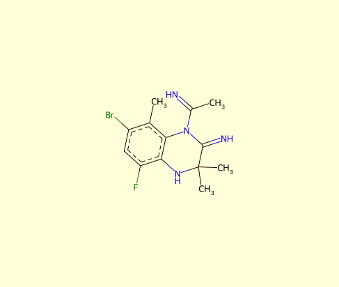 CC(=N)N1C(=N)C(C)(C)Nc2c(F)cc(Br)c(C)c21